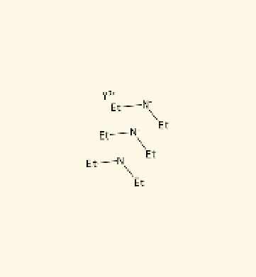 CC[N-]CC.CC[N-]CC.CC[N-]CC.[Y+3]